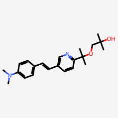 CN(C)c1ccc(/C=C/c2ccc(C(C)(C)OCC(C)(C)O)nc2)cc1